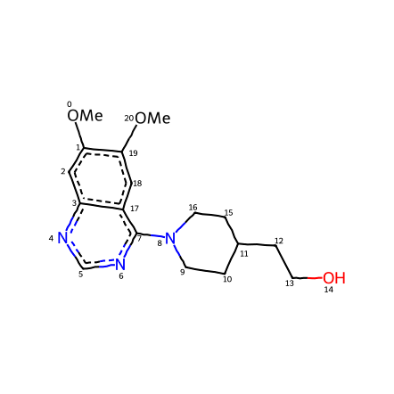 COc1cc2ncnc(N3CCC(CCO)CC3)c2cc1OC